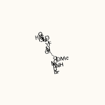 COc1cc2c(NC(C)c3cccc(Br)c3)nc(C)nc2cc1OCCCCCCC(=O)N1CCC(c2cc3c(cc2F)C(=O)N(C2CCC(=O)NC2=O)C3)CC1